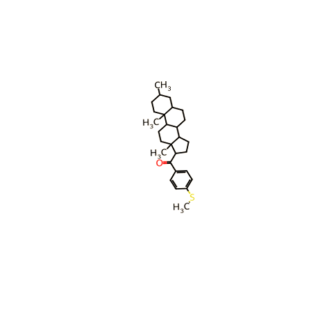 CSc1ccc(C(=O)C2CCC3C4CCC5CC(C)CCC5(C)C4CCC23C)cc1